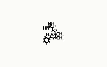 C[C](CCc1ccccc1)C(C)(C)CCCC(=N)N